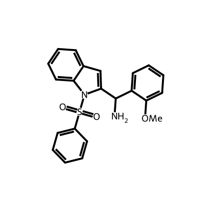 COc1ccccc1C(N)c1cc2ccccc2n1S(=O)(=O)c1ccccc1